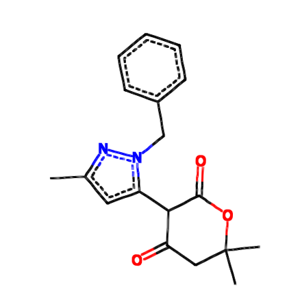 Cc1cc(C2C(=O)CC(C)(C)OC2=O)n(Cc2ccccc2)n1